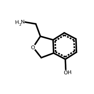 NCC1OCc2c(O)cccc21